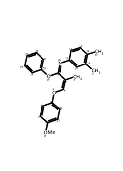 COc1ccc(OC=C(C)C(=Nc2ccc(C)c(C)c2)Oc2ccccc2)cc1